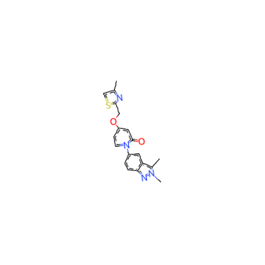 Cc1csc(COc2ccn(-c3ccc4nn(C)c(C)c4c3)c(=O)c2)n1